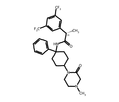 C[C@H](C(=O)NC1(c2ccccc2)CCC(N2CCN(C)CC2=O)CC1)c1cc(C(F)(F)F)cc(C(F)(F)F)c1